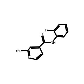 CC(C)(C)c1cc(C(=O)Nc2ccccc2F)ccn1